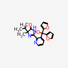 CC(C)C1(C)N=C(c2ncccc2C(O)(c2ccco2)c2ccco2)NC1=O